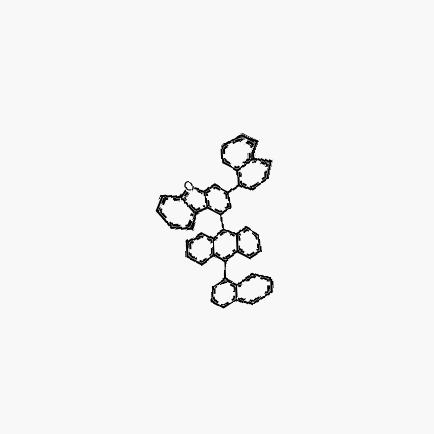 c1ccc2c(-c3cc(-c4c5ccccc5c(-c5cccc6ccccc56)c5ccccc45)c4c(c3)oc3ccccc34)cccc2c1